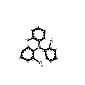 Clc1ccccc1N(c1ccccc1Cl)c1ccccc1Cl